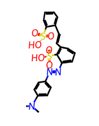 CN(C)c1ccc(N=Nc2cccc(C=Cc3ccccc3S(=O)(=O)O)c2S(=O)(=O)O)cc1